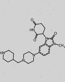 Cn1c(=O)n(C2CCC(=O)NC2=O)c2cc(N3CCN(CC4CCNCC4)CC3)ccc21